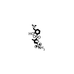 Cc1cc(S(N)(=O)=O)sc1S(=O)(=O)c1cccc(CN(C)C)c1O